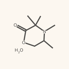 CC1COC(=O)C(C)(C)N1C.O